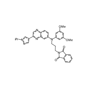 COc1cc(OC)cc(N(CCCN2C(=O)c3ccccc3C2=O)c2ccc3ncc(-c4cnn(C(C)C)c4)nc3c2)c1